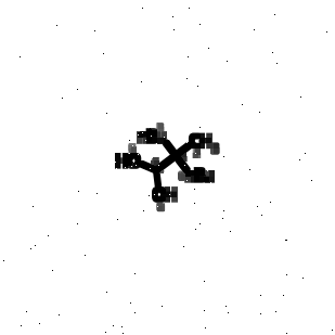 CCCCC(C)(CCCC)[C](O)O